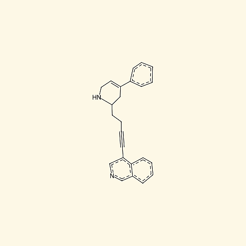 C(#Cc1cncc2ccccc12)CCC1CC(c2ccccc2)=CCN1